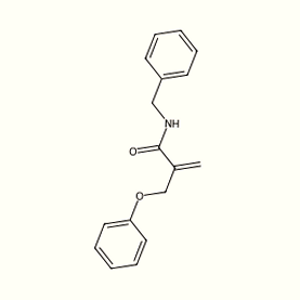 C=C(COc1ccccc1)C(=O)NCc1ccccc1